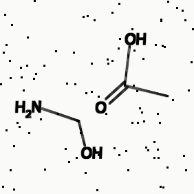 CC(=O)O.NCO